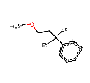 CCC(CC)(CCO[SiH3])c1ccccc1